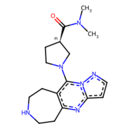 CN(C)C(=O)[C@@H]1CCN(c2c3c(nc4ccnn24)CCNCC3)C1